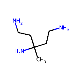 CC(N)(CCN)CCN